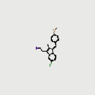 CSc1ccc(C=C2C(C)=C(CCI)c3cc(F)ccc32)cc1